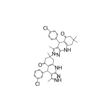 Cc1[nH]nc2c1C(c1cccc(Cl)c1)C1=C(CC(C)(n3nc4c(c3C)C(c3ccc(Cl)cc3)C3=C(CC(C)(C)CC3=O)N4)CC1=O)N2